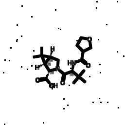 CC(C)(C)[C@H](NC(=O)C1CCOC1)C(=O)N1C[C@H]2[C@@H]([C@H]1C(=O)O)C2(C)C